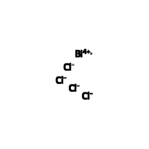 [Bi+4].[Cl-].[Cl-].[Cl-].[Cl-]